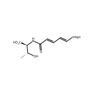 CCCCCCCC=CC=CC(=O)N[C@H](C(=O)O)[C@@H](C)O